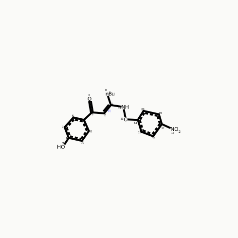 CCCC/C(=C\C(=O)c1ccc(O)cc1)NOc1ccc([N+](=O)[O-])cc1